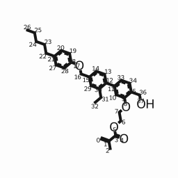 C=C(C)C(=O)OCCOc1cc(-c2ccc(COc3ccc(CCCCC)cc3)cc2CC)ccc1CO